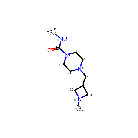 CC(C)(C)NC(=O)N1CCN(CC2CN(C(C)(C)C)C2)CC1